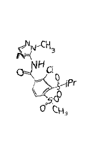 CC(C)S(=O)(=O)c1c(S(C)(=O)=O)ccc(C(=O)Nc2ncnn2C)c1Cl